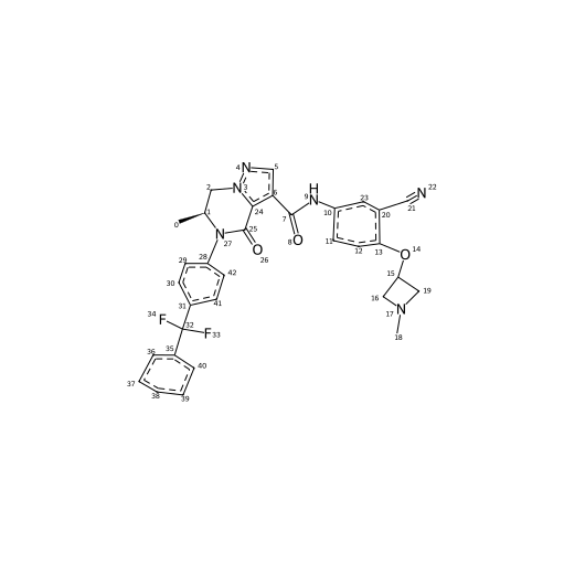 C[C@H]1Cn2ncc(C(=O)Nc3ccc(OC4CN(C)C4)c(C#N)c3)c2C(=O)N1c1ccc(C(F)(F)c2ccccc2)cc1